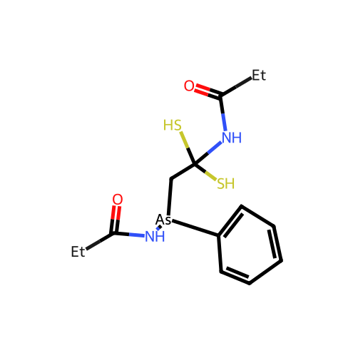 CCC(=O)N[As](CC(S)(S)NC(=O)CC)c1ccccc1